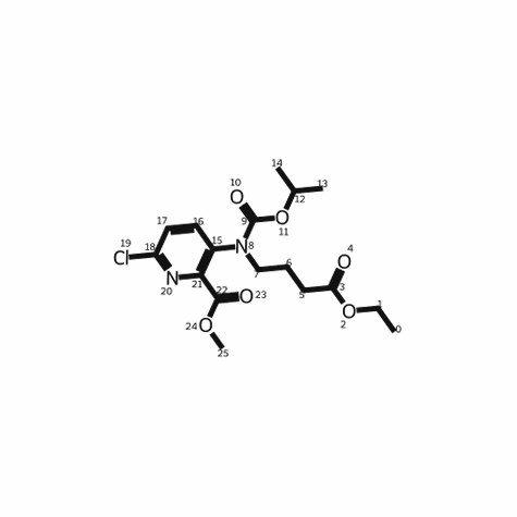 CCOC(=O)CCCN(C(=O)OC(C)C)c1ccc(Cl)nc1C(=O)OC